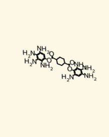 Nc1cc(OC(=O)C2CCC(C(=O)Oc3c(N)cc(N)c(N)c3N)CC2)c(N)c(N)c1N